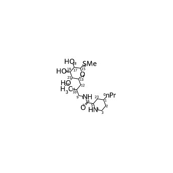 CCCC1CCNC(C(=O)NCC(C)CC2OC(SC)C(O)C(O)C2O)C1